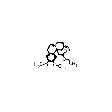 CCOC(=O)CC12CN(SI)CCN1CCc1cc(OC)c(OC)cc12